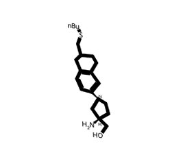 CCCCSCC1CCc2cc([C@H]3CC[C@](N)(CO)C3)ccc2C1